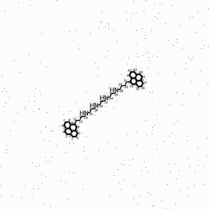 c1cc2ccc3cccc4c(CCCCNCCCNCCCNCCCNCCCCc5cc6cccc7ccc8cccc5c8c76)cc(c1)c2c34